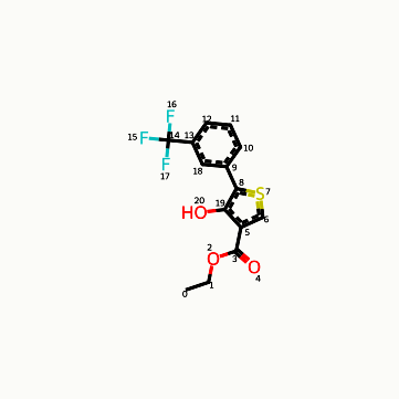 CCOC(=O)c1csc(-c2cccc(C(F)(F)F)c2)c1O